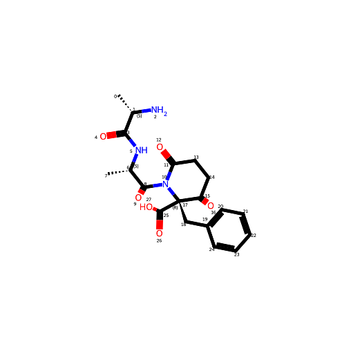 C[C@H](N)C(=O)N[C@@H](C)C(=O)N1C(=O)CCC(=O)[C@]1(Cc1ccccc1)C(=O)O